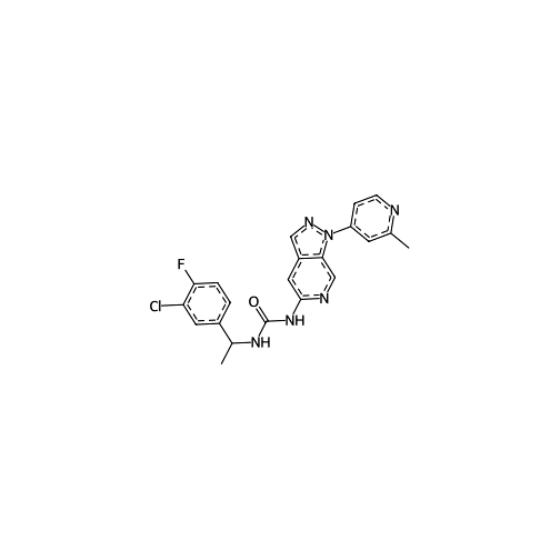 Cc1cc(-n2ncc3cc(NC(=O)NC(C)c4ccc(F)c(Cl)c4)ncc32)ccn1